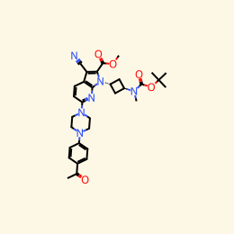 COC(=O)c1c(C#N)c2ccc(N3CCN(c4ccc(C(C)=O)cc4)CC3)nc2n1[C@H]1C[C@H](N(C)C(=O)OC(C)(C)C)C1